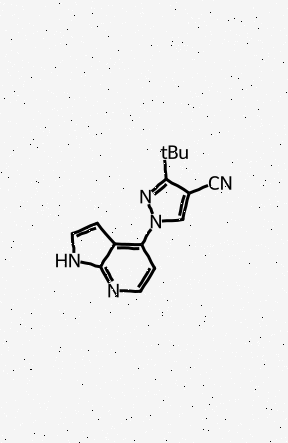 CC(C)(C)c1nn(-c2ccnc3[nH]ccc23)cc1C#N